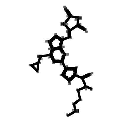 CNCCCN(C)C(=O)c1cc(-c2cc(NC3CC3)n3ncc(/C=C4\NC(=O)NC4=O)c3n2)cs1